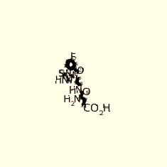 NC(CCC(=O)O)C(=O)NCCCn1c(=O)c2cc(F)ccc2n2c(=S)[nH]nc12